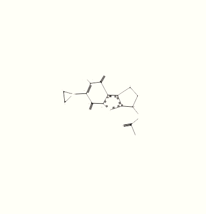 CC(=O)OC1CCc2c1[nH]c1c2C(=O)C(C)=C(N2CC2)C1=O